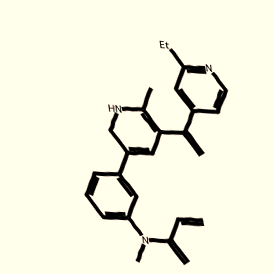 C=CC(=C)N(C)c1cccc(C2=CC(C(=C)c3ccnc(CC)c3)=C(C)NC2)c1